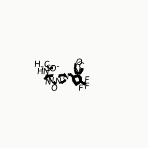 C[S+]([O-])Nc1cnn(C(=O)N2CCN(Cc3ccc(C(F)(F)F)cc3N3C4CCC3COC4)CC2)c1